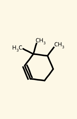 CC1CCC#CC1(C)C